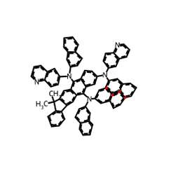 CC1(C)c2ccccc2-c2cc3c(N(c4ccc5ccccc5c4)c4ccc5ncccc5c4)c4cc(N(c5ccc6ccccc6c5)c5ccc6ncccc6c5)ccc4c(N(c4ccc5ccccc5c4)c4ccc5ncccc5c4)c3cc21